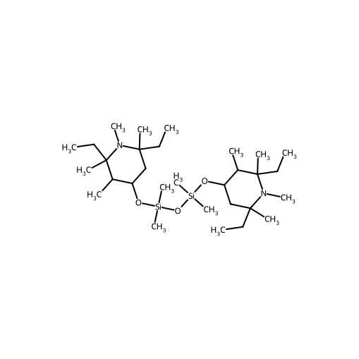 CCC1(C)CC(O[Si](C)(C)O[Si](C)(C)OC2CC(C)(CC)N(C)C(C)(CC)C2C)C(C)C(C)(CC)N1C